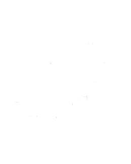 Cc1c(C)c2c(C)c3c(c(C)c2oc1=O)C#CC(C)C(C)C(C)C3C